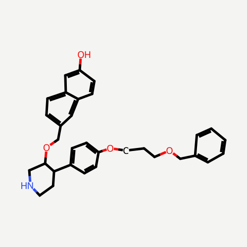 Oc1ccc2cc(COC3CNCCC3c3ccc(OCCCOCc4ccccc4)cc3)ccc2c1